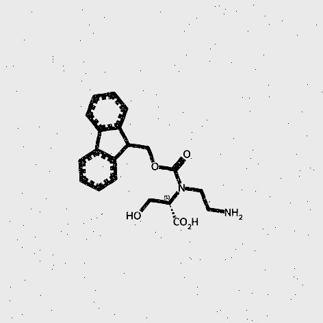 NCCN(C(=O)OCC1c2ccccc2-c2ccccc21)[C@@H](CO)C(=O)O